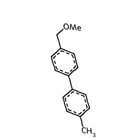 COCc1ccc(-c2ccc(C)cc2)cc1